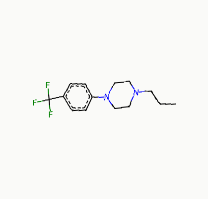 CCCN1CCN(c2ccc(C(F)(F)F)cc2)CC1